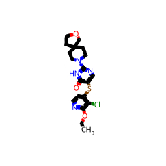 CCOc1nccc(Sc2cnc(N3CCC4(CCOC4)CC3)[nH]c2=O)c1Cl